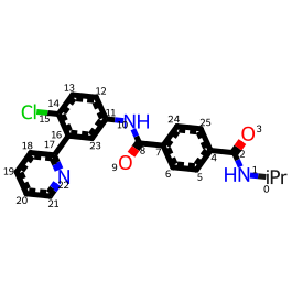 CC(C)NC(=O)c1ccc(C(=O)Nc2ccc(Cl)c(-c3ccccn3)c2)cc1